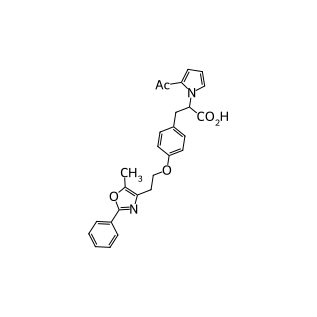 CC(=O)c1cccn1C(Cc1ccc(OCCc2nc(-c3ccccc3)oc2C)cc1)C(=O)O